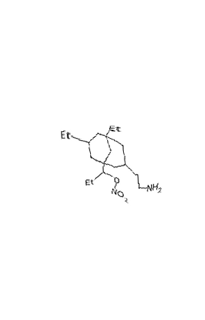 CCC1CC2(CC)CC(CCN)CC(C(CC)O[N+](=O)[O-])(C1)C2